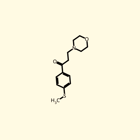 CSc1ccc(C(=O)CCN2CCOCC2)cc1